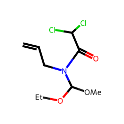 C=CCN(C(=O)C(Cl)Cl)C(OC)OCC